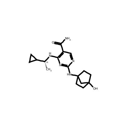 C[C@@H](Nc1nc(NC23CCC(O)(CC2)C3)ncc1C(N)=O)C1CC1